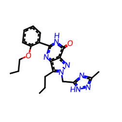 CCCOc1ccccc1-c1nc2c(CCC)n(Cc3nc(C)n[nH]3)nc2c(=O)[nH]1